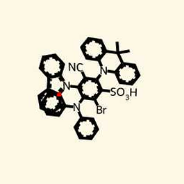 CC1(C)c2ccccc2N(c2c(C#N)c(-n3c4ccccc4c4ccccc43)c(N(c3ccccc3)c3ccccc3)c(Br)c2S(=O)(=O)O)c2ccccc21